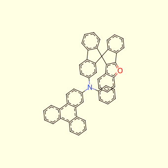 c1ccc(N(c2ccc3c(c2)C2(c4ccccc4-3)c3ccccc3-c3oc4ccccc4c32)c2ccc3c4ccccc4c4ccccc4c3c2)cc1